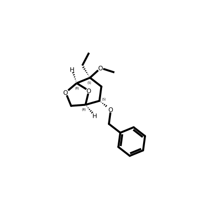 CC[C@]1(OC)C[C@H](OCc2ccccc2)[C@H]2CO[C@@H]1O2